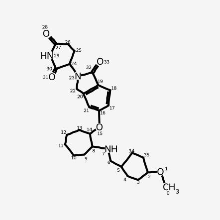 COC1CCC(CNC2CCCCCC2Oc2ccc3c(c2)CN(C2CCC(=O)NC2=O)C3=O)CC1